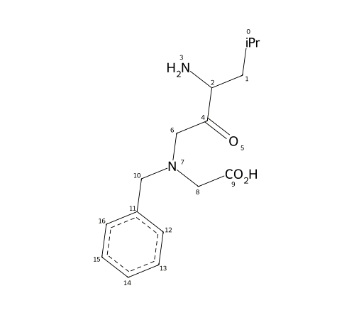 CC(C)CC(N)C(=O)CN(CC(=O)O)Cc1ccccc1